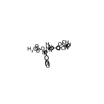 C[C@@H](Cn1cncn1)Oc1cc(-c2cnc(Nc3cn([C@H]4CC[C@H](N5C6CCC5COC6)CC4)nc3OCCS(C)(=O)=O)nc2)ccc1Cl